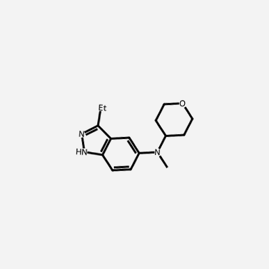 CCc1n[nH]c2ccc(N(C)C3CCOCC3)cc12